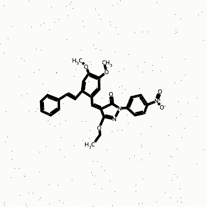 CCOC1=NN(c2ccc([N+](=O)[O-])cc2)C(=O)/C1=C\c1cc(OC)c(OC)cc1/C=C/c1ccccc1